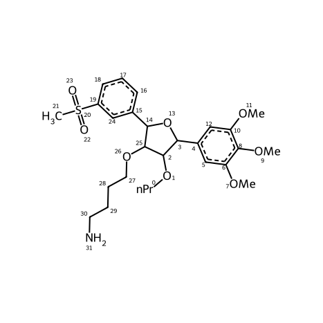 CCCOC1C(c2cc(OC)c(OC)c(OC)c2)OC(c2cccc(S(C)(=O)=O)c2)C1OCCCCN